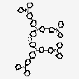 c1ccc(N(c2ccccc2)c2ccc(-c3ccc(N(c4ccc(Oc5ccc(N(c6ccc(-c7ccc(N(c8ccccc8)c8ccccc8)cc7)cc6)c6ccc(-c7ccc(N(c8ccccc8)c8ccccc8)cc7)cc6)cc5)cc4)c4ccc(-c5ccc(N(c6ccccc6)c6ccccc6)cc5)cc4)cc3)cc2)cc1